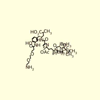 CC[C@H](C)[C@H](NC(=O)C(C)(C)N(C)C)C(=O)N(C)[C@H](C[C@@H](OC(C)=O)c1nc(C(=O)N[C@@H](Cc2ccc(O)c(NC(=O)CCOCCOCCN)c2)CC(C)C(=O)O)cs1)C(C)C